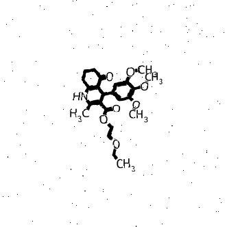 CCOCCOC(=O)C1=C(C)NC2=C(C(=O)CCC2)C1c1cc(OC)c(OC)c(OC)c1